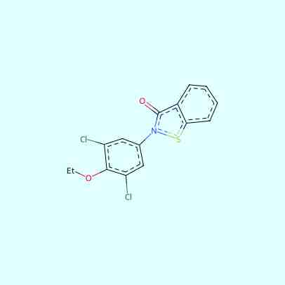 CCOc1c(Cl)cc(-n2sc3ccccc3c2=O)cc1Cl